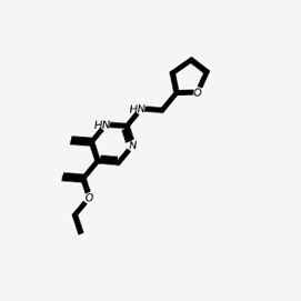 C=C1NC(NCC2CCCO2)=NC=C1C(=C)OCC